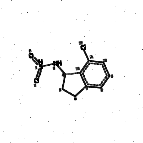 O=[SH](=O)NC1CCc2cccc(Cl)c21